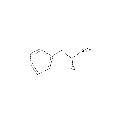 CSC(Cl)Cc1ccccc1